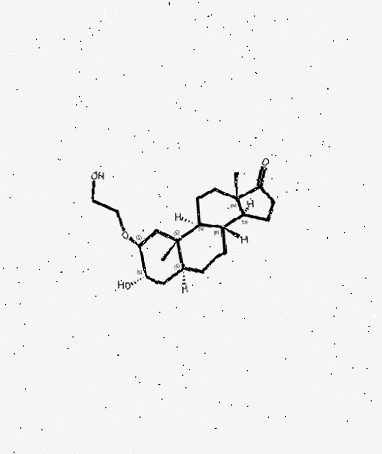 C[C@]12C[C@H](OCCO)[C@@H](O)C[C@@H]1CC[C@@H]1[C@@H]2CC[C@]2(C)C(=O)CC[C@@H]12